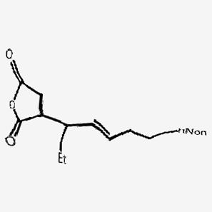 CCCCCCCCCCCC=CC(CC)C1CC(=O)OC1=O